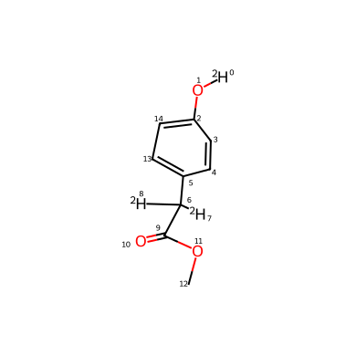 [2H]Oc1ccc(C([2H])([2H])C(=O)OC)cc1